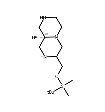 CC(C)(C)[Si](C)(C)OCC1CN2CCNC[C@@H]2CN1